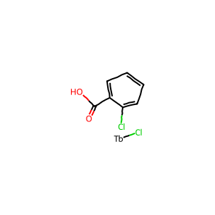 O=C(O)c1ccccc1Cl.[Cl][Tb]